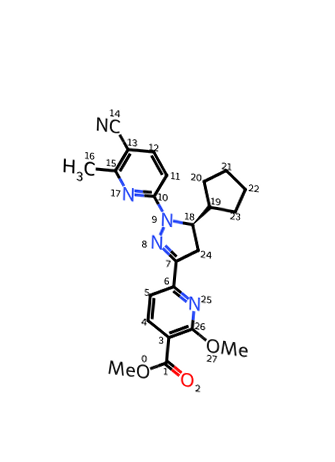 COC(=O)c1ccc(C2=NN(c3ccc(C#N)c(C)n3)[C@@H](C3CCCC3)C2)nc1OC